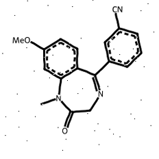 COc1ccc2c(c1)N(C)C(=O)CN=C2c1cccc(C#N)c1